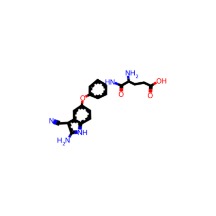 N#Cc1c(N)[nH]c2ccc(Oc3ccc(NC(=O)C(N)CCC(=O)O)cc3)cc12